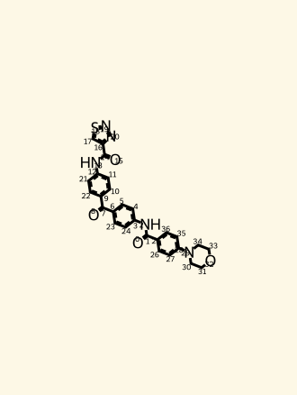 O=C(Nc1ccc(C(=O)c2ccc(NC(=O)c3csnn3)cc2)cc1)c1ccc(N2CCOCC2)cc1